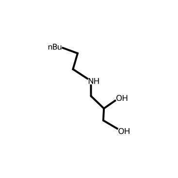 CCCCCCNCC(O)CO